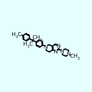 Cc1ccc(C(C)(C)c2ccc(N3CCc4nc(N5CCN(C)CC5)ncc4C3)cc2)cc1